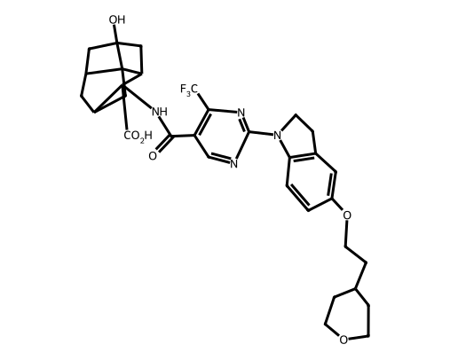 O=C(NC1(C(=O)O)C2CC3CC4(O)CC1C34C2)c1cnc(N2CCc3cc(OCCC4CCOCC4)ccc32)nc1C(F)(F)F